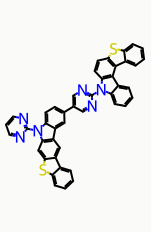 c1cnc(-n2c3ccc(-c4cnc(-n5c6ccccc6c6c7c(ccc65)sc5ccccc57)nc4)cc3c3cc4c(cc32)sc2ccccc24)nc1